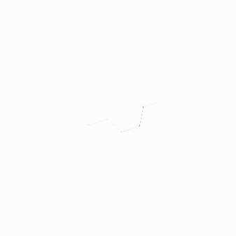 CC/C=C/C(C)C(C)O